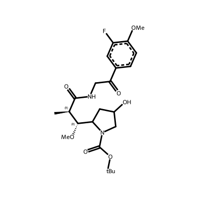 COc1ccc(C(=O)CNC(=O)[C@H](C)[C@@H](OC)C2CC(O)CN2C(=O)OC(C)(C)C)cc1F